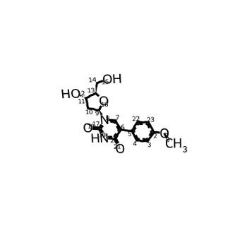 COc1ccc(-c2cn([C@H]3C[C@H](O)[C@@H](CO)O3)c(=O)[nH]c2=O)cc1